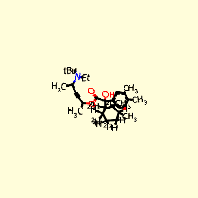 [2H]C1([2H])C([2H])([2H])C([2H])(C)C([2H])(C)C([2H])(C(O)(C(=O)OC(C)C#CC(C)N(CC)C(C)(C)C)c2ccc(C)c(C)c2)C1([2H])[2H]